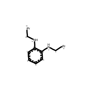 CC(C)CNc1[c]cccc1NCC(C)C